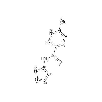 CC(C)(C)c1ccc(C(=O)Nc2ccon2)nn1